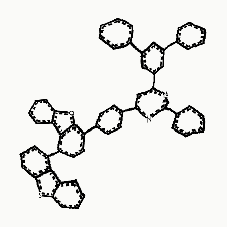 c1ccc(-c2cc(-c3ccccc3)cc(-c3cc(-c4ccc(-c5ccc(-c6cccc7sc8ccccc8c67)c6c5oc5ccccc56)cc4)nc(-c4ccccc4)n3)c2)cc1